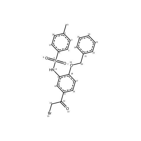 Cc1ccc(S(=O)(=O)Nc2cc(C(=O)CBr)ccc2OCc2ccccc2)cc1